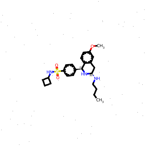 CCCCN[C@H]1Cc2cc(OC)ccc2[C@H](c2ccc(S(=O)(=O)NC3CCC3)cc2)N1